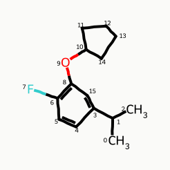 CC(C)c1ccc(F)c(OC2CCCC2)c1